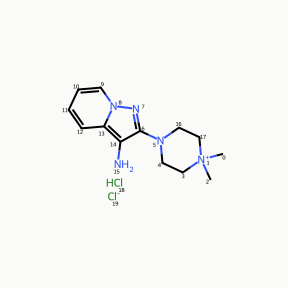 C[N+]1(C)CCN(c2nn3ccccc3c2N)CC1.Cl.[Cl-]